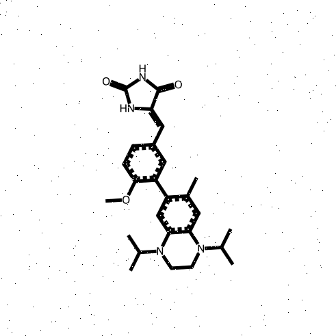 COc1ccc(/C=C2\NC(=O)NC2=O)cc1-c1cc2c(cc1C)N(C(C)C)CCN2C(C)C